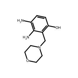 Nc1ccc(O)c(CN2CCOCC2)c1N